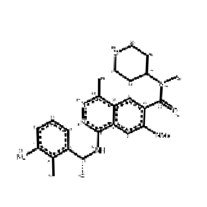 CNc1cc2c(N[C@H](C)c3cccc(C#N)c3C)nnc(C)c2cc1C(=O)N(C)C1CCOCC1